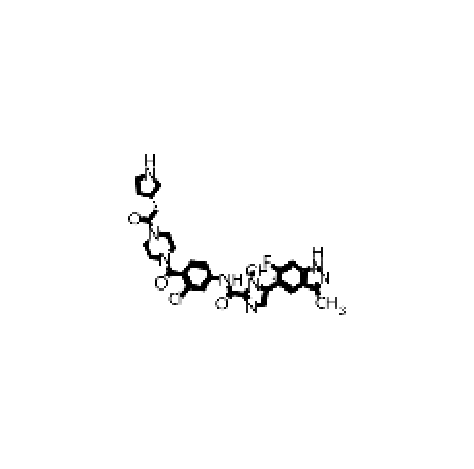 Cc1n[nH]c2cc(F)c(-c3cnc(C(=O)Nc4ccc(C(=O)N5CCN(C(=O)C[C@@H]6CCNC6)CC5)c(Cl)c4)n3C)cc12